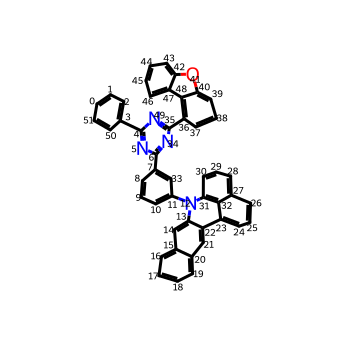 c1ccc(-c2nc(-c3cccc(N4c5cc6ccccc6cc5-c5cccc6cccc4c56)c3)nc(-c3cccc4oc5ccccc5c34)n2)cc1